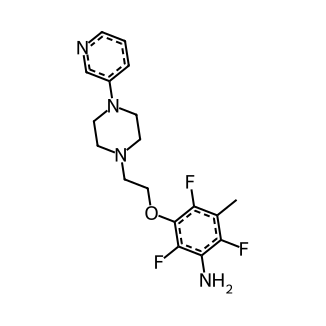 Cc1c(F)c(N)c(F)c(OCCN2CCN(c3cccnc3)CC2)c1F